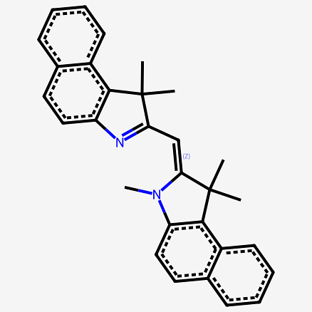 CN1/C(=C\C2=Nc3ccc4ccccc4c3C2(C)C)C(C)(C)c2c1ccc1ccccc21